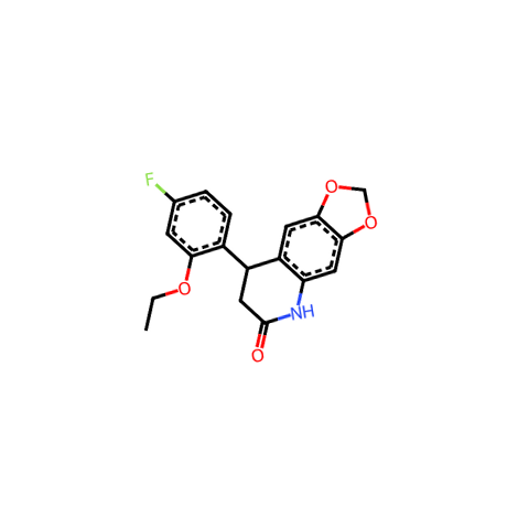 CCOc1cc(F)ccc1C1CC(=O)Nc2cc3c(cc21)OCO3